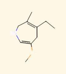 CCC1=C(C)CNC=C(PC)C1